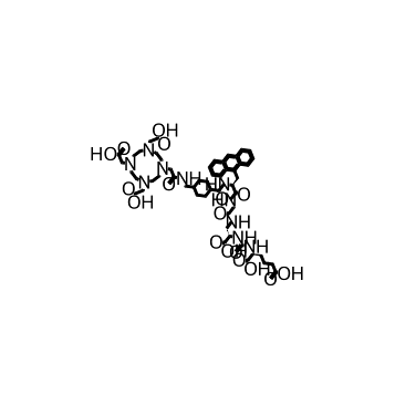 O=C(O)CCC[C@H](NC(=O)N[C@@H](CNC(=O)CNC(=O)[C@H](Cc1c2ccccc2cc2ccccc12)NC(=O)C1CCC(CNC(=O)CN2CCN(CC(=O)O)CCN(CC(=O)O)CCN(CC(=O)O)CC2)CC1)C(=O)O)C(=O)O